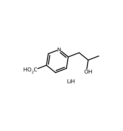 CC(O)Cc1ccc(C(=O)O)cn1.[LiH]